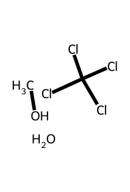 CO.ClC(Cl)(Cl)Cl.O